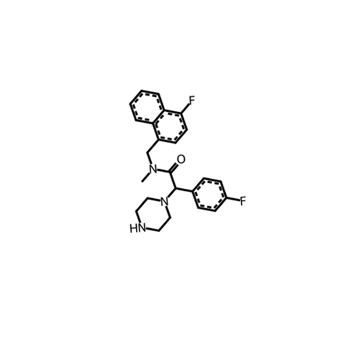 CN(Cc1ccc(F)c2ccccc12)C(=O)C(c1ccc(F)cc1)N1CCNCC1